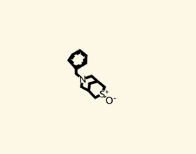 [O-][S+]1CC2CC(CN(Cc3ccccc3)C2)C1